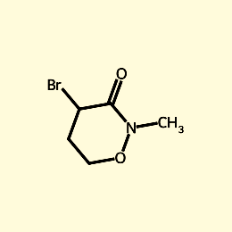 CN1OCCC(Br)C1=O